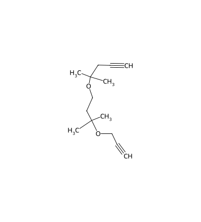 C#CCOC(C)(C)CCOC(C)(C)CC#C